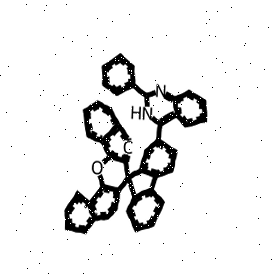 c1ccc(C2N=c3ccccc3=C(c3ccc4c(c3)C3(c5ccccc5-4)c4ccc5ccccc5c4Oc4c3ccc3ccccc43)N2)cc1